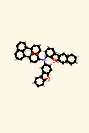 c1ccc(-c2cccc3cccc(-c4ccc(N(c5ccc6oc7ccccc7c6c5)c5cccc6c5oc5cc7ccccc7cc56)cc4)c23)cc1